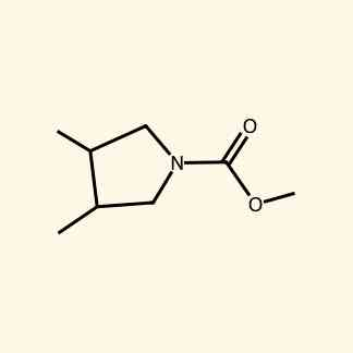 COC(=O)N1CC(C)C(C)C1